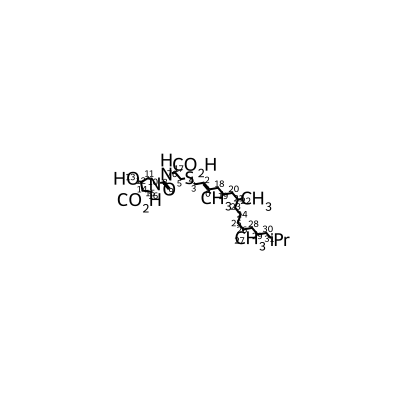 C/C(=C\CSCC(NC(=O)N1CC(O)CC1C(=O)O)C(=O)O)CCCC(C)CCCC(C)CCCC(C)C